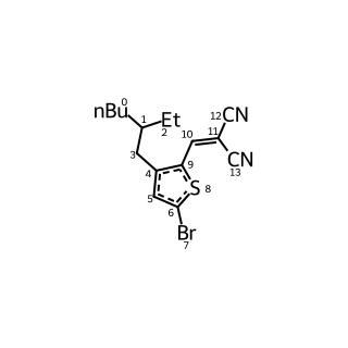 CCCCC(CC)Cc1cc(Br)sc1C=C(C#N)C#N